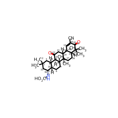 CC1(C)C[C@H]2[C@H](CC[C@]3(C)[C@@H]2C(=O)C[C@@H]2[C@@]4(C)C=C(C#N)C(=O)C(C)(C)[C@@H]4CC[C@]23C)[C@H](NC(=O)O)C1